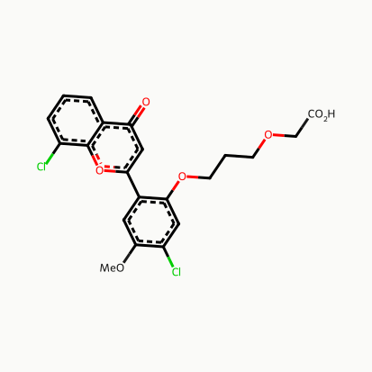 COc1cc(-c2cc(=O)c3cccc(Cl)c3o2)c(OCCCOCC(=O)O)cc1Cl